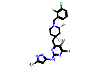 CCc1nc(Nc2cc(C)[nH]n2)nc(C[C@@]2(C(=O)O)CCN(Cc3cccc(Cl)c3F)[C@H](CC)C2)c1F